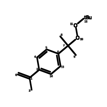 C=C(C)c1ccc(C(C)(C)OOC(C)(C)C)cc1